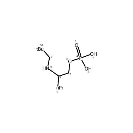 CCCC(COP(=O)(O)O)NCC(C)(C)C